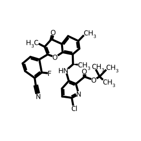 Cc1cc([C@@H](C)Nc2ccc(Cl)nc2C(=O)OC(C)(C)C)c2oc(-c3cccc(C#N)c3F)c(C)c(=O)c2c1